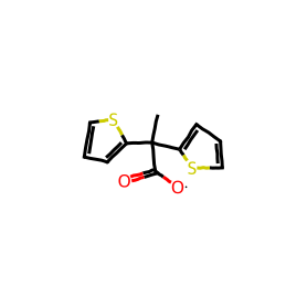 CC(C([O])=O)(c1cccs1)c1cccs1